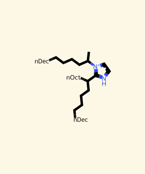 CCCCCCCCCCCCCCC(CCCCCCCC)c1[nH]cc[n+]1C(C)CCCCCCCCCCCCCC